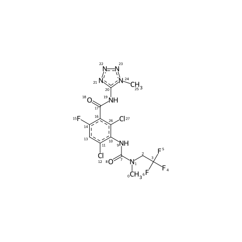 CN(CC(F)(F)F)C(=O)Nc1c(Cl)cc(F)c(C(=O)Nc2nnnn2C)c1Cl